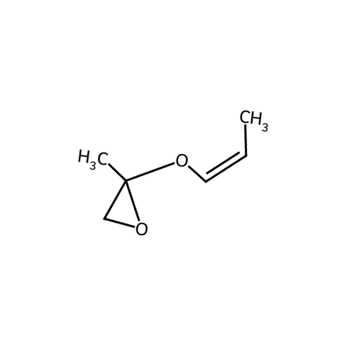 C/C=C\OC1(C)CO1